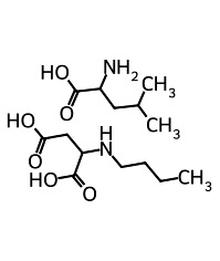 CC(C)CC(N)C(=O)O.CCCCNC(CC(=O)O)C(=O)O